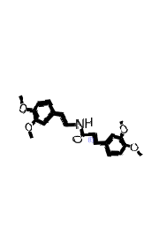 COc1ccc(/C=C/C(=O)NCCc2ccc(OC)c(OC)c2)cc1OC